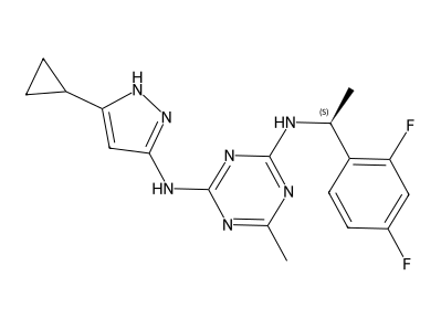 Cc1nc(Nc2cc(C3CC3)[nH]n2)nc(N[C@@H](C)c2ccc(F)cc2F)n1